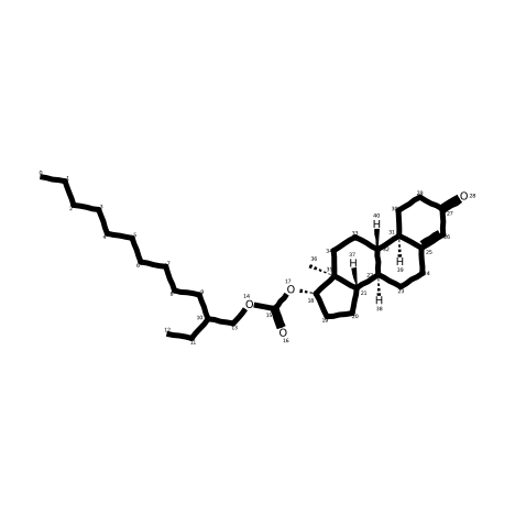 CCCCCCCCCCC(CC)COC(=O)O[C@H]1CC[C@H]2[C@@H]3CCC4=CC(=O)CC[C@@H]4[C@H]3CC[C@]12C